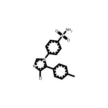 Cc1ccc(-c2c(Cl)ncn2-c2ccc(S(N)(=O)=O)cc2)cc1